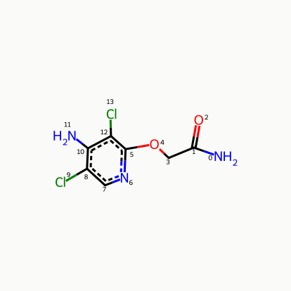 NC(=O)COc1ncc(Cl)c(N)c1Cl